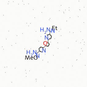 CC/N=C(\N)c1ccc(-c2ccc(-c3ccc(/C(N)=N/OC)cn3)o2)nc1